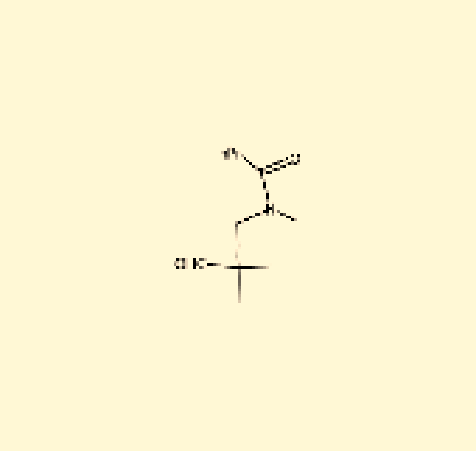 CCCC(=O)N(C)CC(C)(C)C=O